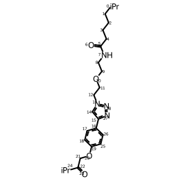 CC(C)CCCCC(=O)NCCOCCn1cc(-c2ccc(OCC(=O)C(C)C)cc2)nn1